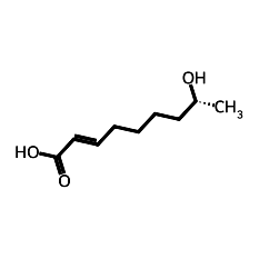 C[C@@H](O)CCCC/C=C/C(=O)O